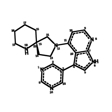 c1ncc(-c2c[nH]c3nccc(N4CC[C@@]5(CCCCN5)C4)c23)cn1